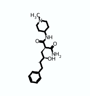 CN1CCC(NC(=O)[C@H](C[C@@H](O)[CH]Cc2ccccc2)C(N)=O)CC1